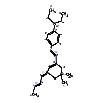 C/C=C/C=C1C=C(/C=C/c2ccc(N(CC)CC)cc2)CC(C)(C)C/1